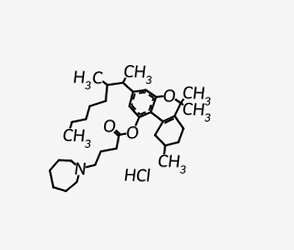 CCCCCC(C)C(C)c1cc(OC(=O)CCCN2CCCCCC2)c2c(c1)OC(C)(C)C1=C2CC(C)CC1.Cl